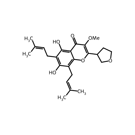 COc1c(C2CCOC2)oc2c(CC=C(C)C)c(O)c(CC=C(C)C)c(O)c2c1=O